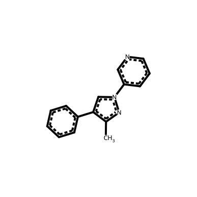 Cc1nn(-c2cccnc2)cc1-c1ccccc1